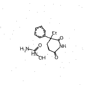 CCC1(c2ccccc2)CCC(=O)NC1=O.NC(=O)NO